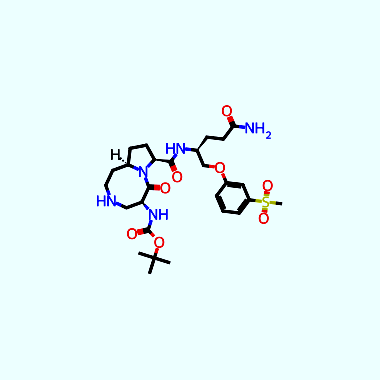 CC(C)(C)OC(=O)N[C@H]1CNCC[C@H]2CC[C@@H](C(=O)N[C@@H](CCC(N)=O)COc3cccc(S(C)(=O)=O)c3)N2C1=O